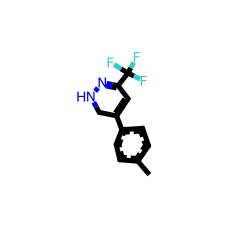 Cc1ccc(C2=CC(C(F)(F)F)=NNC2)cc1